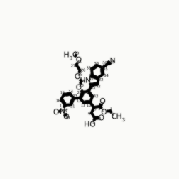 CCOC(=O)C(CC(=O)O)c1cc(-c2cccc([N+](=O)[O-])c2)c(OCOCCOC)c(-c2cc3cc(C#N)ccc3[nH]2)c1